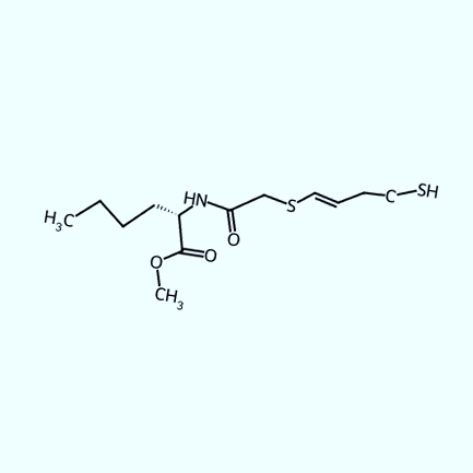 CCCC[C@H](NC(=O)CS/C=C/CCS)C(=O)OC